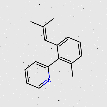 CC(C)=Cc1cccc(C)c1-c1ccccn1